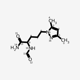 Cc1cc(C)n(CCCC(NC=O)C(N)=O)n1